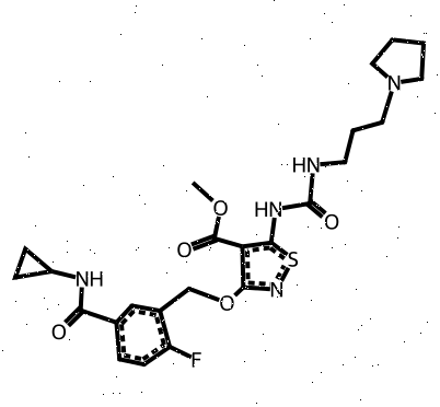 COC(=O)c1c(OCc2cc(C(=O)NC3CC3)ccc2F)nsc1NC(=O)NCCCN1CCCC1